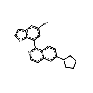 CC(C)c1cc(-c2nccc3cc(C4CCCC4)ccc23)c2occc2c1